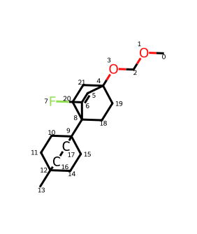 COCOC12C=C(F)C(C34CCC(C)(CC3)CC4)(CC1)CC2